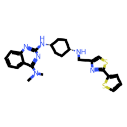 CN(C)c1nc(N[C@H]2CC[C@@H](NCc3csc(-c4cccs4)n3)CC2)nc2ccccc12